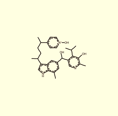 Cc1ncc(C(O)c2cc(C)c3[nH]cc(C(C)CCC(C)c4cc[n+](O)cc4)c3c2)c(C(C)C)c1O